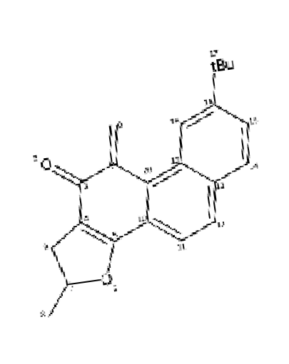 C=C1C(=O)C2=C(OC(C)C2)c2ccc3ccc(C(C)(C)C)cc3c21